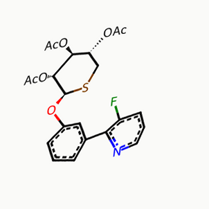 CC(=O)O[C@@H]1[C@@H](OC(C)=O)[C@H](OC(C)=O)CS[C@H]1Oc1cccc(-c2ncccc2F)c1